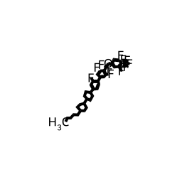 CCCCCC1CCC(C2CCC(c3ccc(-c4cc(F)c(C(F)(F)Oc5cc(F)c(S(F)(F)(F)(F)F)c(F)c5)c(F)c4)c(F)c3)CC2)CC1